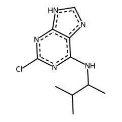 CC(C)C(C)Nc1nc(Cl)nc2[nH]cnc12